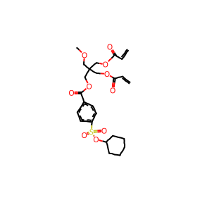 C=CC(=O)OCC(COC)(COC(=O)C=C)COC(=O)c1ccc(S(=O)(=O)OC2CCCCC2)cc1